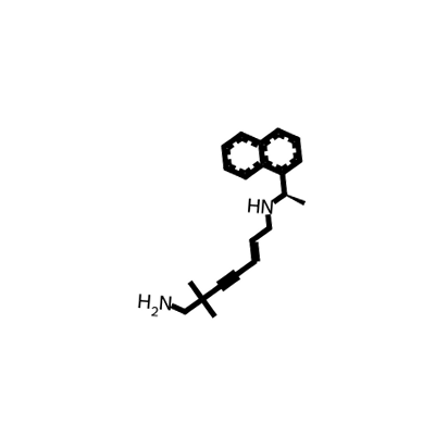 C[C@@H](NC/C=C/C#CC(C)(C)CN)c1cccc2ccccc12